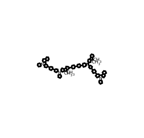 CC1(C)c2ccccc2-c2ccc(N(c3ccc(-c4ccc(-c5ccc(-c6ccc7c(c6)C(C)(C)c6cc(N(c8ccccc8)c8ccc(-c9ccc(-c%10ccc%11c(c%10)c%10c%12ccccc%12ccc%10n%11-c%10ccccc%10)cc9)cc8)ccc6-7)cc5)cc4)cc3)c3ccc(-c4ccc(-c5ccc6c(c5)c5c7ccccc7ccc5n6-c5ccccc5)cc4)cc3)cc21